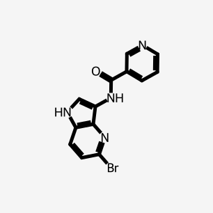 O=C(Nc1c[nH]c2ccc(Br)nc12)c1cccnc1